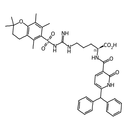 Cc1c(C)c(S(=O)(=O)NC(=N)NCCC[C@H](NC(=O)c2ccc(C(c3ccccc3)c3ccccc3)[nH]c2=O)C(=O)O)c(C)c2c1OC(C)(C)CC2